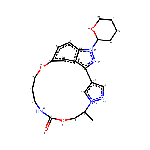 CC1COC(=O)NCCCOc2ccc3c(c2)c(nn3C2CCCCO2)-c2cnn1c2